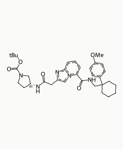 COc1ccc(C2(CNC(=O)c3cccc4nc(CC(=O)N[C@@H]5CCN(C(=O)OC(C)(C)C)C5)cn34)CCCCC2)cc1